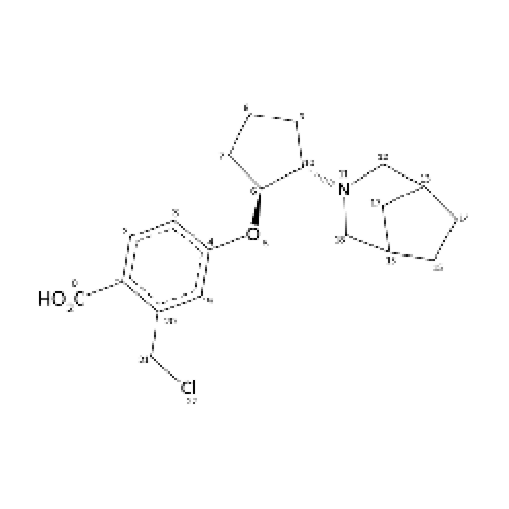 O=C(O)c1ccc(O[C@H]2CCC[C@@H]2N2CC3CCC(C3)C2)cc1CCl